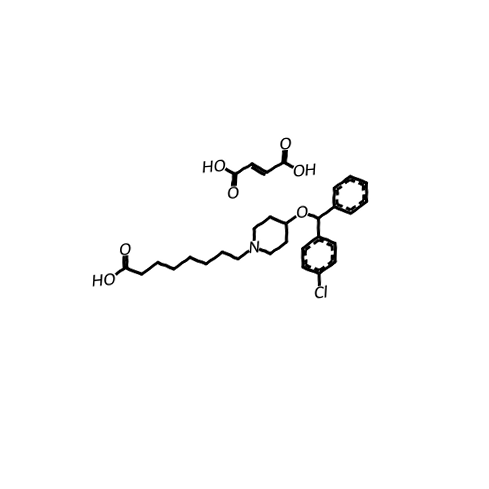 O=C(O)/C=C/C(=O)O.O=C(O)CCCCCCCN1CCC(OC(c2ccccc2)c2ccc(Cl)cc2)CC1